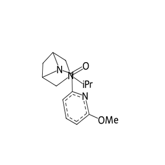 COc1cccc(C(=O)N2C3CC2CN(C(C)C)C3)n1